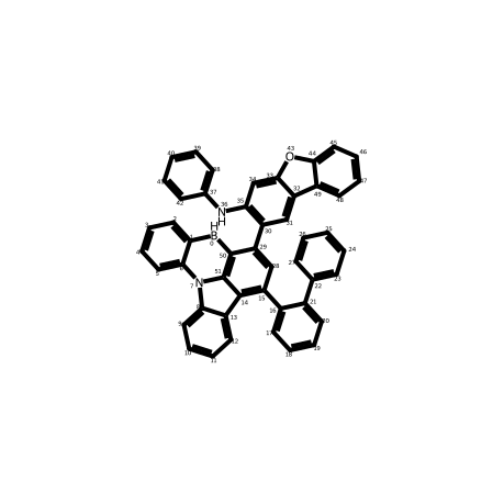 B1c2ccccc2-n2c3ccccc3c3c(-c4ccccc4-c4ccccc4)cc(-c4cc5c(cc4Nc4ccccc4)oc4ccccc45)c1c32